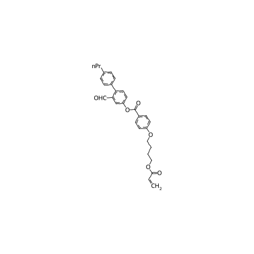 C=CC(=O)OCCCCOc1ccc(C(=O)Oc2ccc(-c3ccc(CCC)cc3)c(C=O)c2)cc1